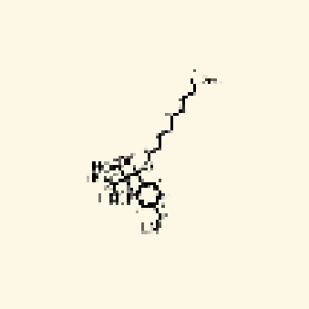 CCCCCCCCCCCCCCCCCCOC(c1ccc(CN)cc1)(C(C)(C)C)C(CO)(CO)C(O)C(C)(C)C